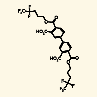 O=C(O)c1cc(-c2ccc(C(=O)OCCCC(F)(F)C(F)(F)F)c(C(=O)O)c2)ccc1C(=O)OCCCC(F)(F)C(F)(F)F